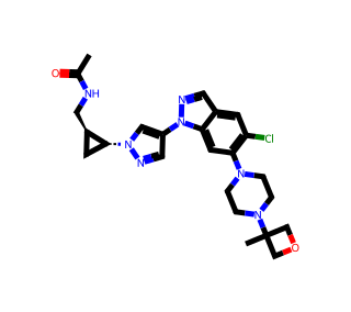 CC(=O)NC[C@@H]1C[C@H]1n1cc(-n2ncc3cc(Cl)c(N4CCN(C5(C)COC5)CC4)cc32)cn1